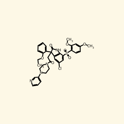 CCOc1ccccc1C1(CC(=O)N2CCN(c3cccnc3)CC2)C(=O)Nc2c1cc(Cl)cc2S(=O)(=O)c1ccc(OC)cc1OC